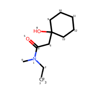 CN(CC(F)(F)F)C(=O)CC1(O)CCCCC1